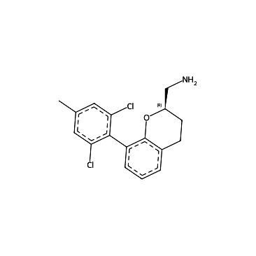 Cc1cc(Cl)c(-c2cccc3c2O[C@@H](CN)CC3)c(Cl)c1